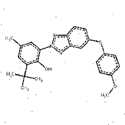 COc1ccc(Sc2ccc3nn(-c4cc(C)cc(C(C)(C)C)c4O)nc3c2)cc1